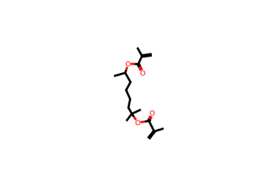 C=C(C)C(=O)OC(C)CCCCC(C)(C)OC(=O)C(=C)C